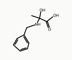 CC(O)(NCc1ccccc1)C(=O)O